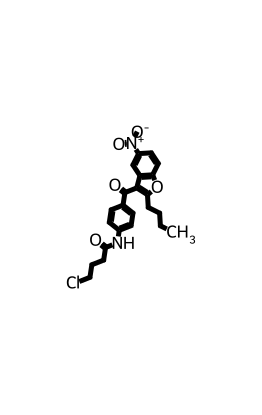 CCCCc1oc2ccc([N+](=O)[O-])cc2c1C(=O)c1ccc(NC(=O)CCCCl)cc1